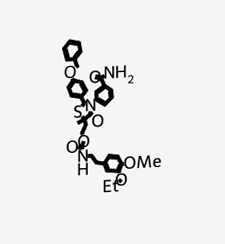 CCOc1cc(CCNC(=O)OCCC2(C)SC(c3ccc(OCc4ccccc4)cc3)N(c3cccc(C(N)=O)c3)C2=O)ccc1OC